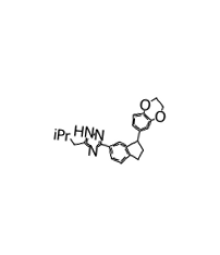 CC(C)Cc1nc(-c2ccc3c(c2)C(c2ccc4c(c2)OCCO4)CC3)n[nH]1